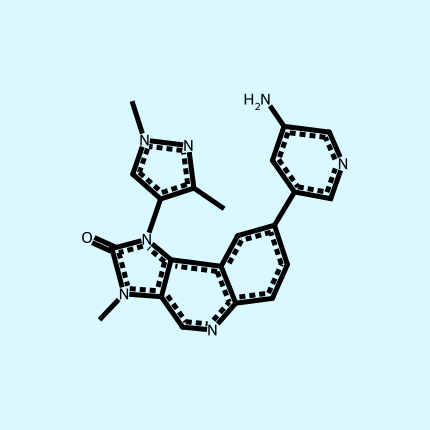 Cc1nn(C)cc1-n1c(=O)n(C)c2cnc3ccc(-c4cncc(N)c4)cc3c21